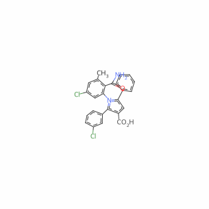 Cc1cc(Cl)cc(-n2c(-c3ccccc3)cc(C(=O)O)c2-c2cccc(Cl)c2)c1C(N)=O